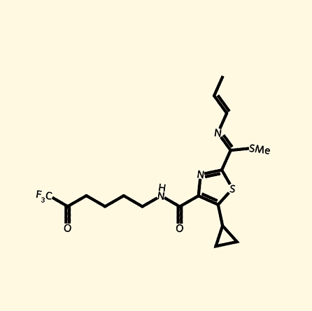 C/C=C/N=C(\SC)c1nc(C(=O)NCCCCC(=O)C(F)(F)F)c(C2CC2)s1